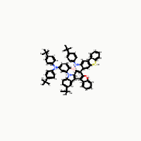 CC(C)(C)c1ccc(N2B3c4ccc(N(c5ccc(C(C)(C)C)cc5)c5ccc(C(C)(C)C)cc5)cc4-n4c5ccc(C(C)(C)C)cc5c5c6c(oc7ccccc76)c(c3c54)-c3cc4sc5ccccc5c4cc32)cc1